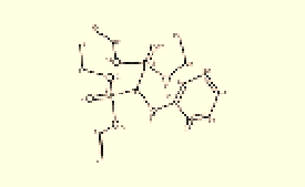 CCOP(=O)(OCC)C(Sc1ccccn1)P(=O)(OCC)OCC